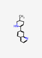 CC1CC=C(c2ccc3cccnc3c2)NC1